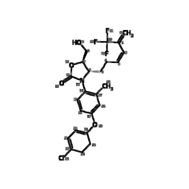 C=C(/C=C\CC[C@H]1[C@H](CO)OC(=O)N1c1ccc(OC2=CC=C(Cl)CC2)cc1C)C(F)(F)F